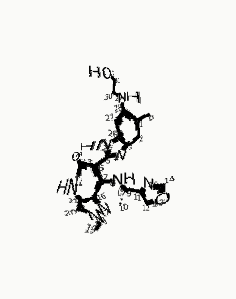 Cc1cc2nc(-c3c(N[C@@H](C)c4cocn4)c4nn(C)cc4[nH]c3=O)[nH]c2cc1NCCO